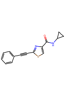 O=C(NC1CC1)c1csc(C#Cc2ccccc2)n1